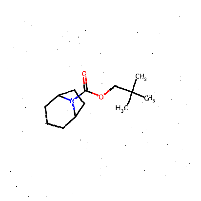 CC(C)(C)COC(=O)N1C2C[CH]CC1CC2